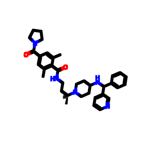 Cc1cc(C(=O)N2CCCC2)cc(C)c1C(=O)NCC[C@@H](C)N1CCC(NC(c2ccccc2)c2cccnc2)CC1